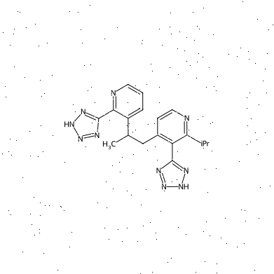 CC(C)c1nccc(CC(C)c2cccnc2-c2nn[nH]n2)c1-c1nn[nH]n1